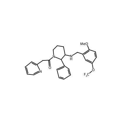 COc1ccc(OC(F)(F)F)cc1CNC1CCCN(C(=O)Cc2ccccn2)C1c1ccccc1